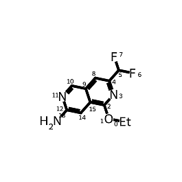 CCOc1nc(C(F)F)cc2cnc(N)cc12